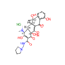 CN(C)[C@@H]1C(O)=C(C(=O)NCN2CCCC2)C(=O)[C@@]2(O)C(O)=C3C(=O)c4c(O)cccc4[C@@](C)(O)[C@H]3C[C@H]12.Cl